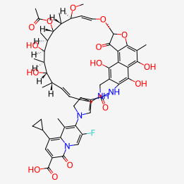 CO[C@H]1/C=C/O[C@@]2(C)Oc3c(C)c(O)c4c(O)c(c(CNC5CCN(c6c(F)cn7c(=O)c(C(=O)O)cc(C8CC8)c7c6C)C5)c(O)c4c3C2=O)NC(=O)/C(C)=C\C=C\[C@H](C)[C@H](O)[C@@H](C)[C@@H](O)[C@@H](C)[C@H](OC(C)=O)[C@@H]1C